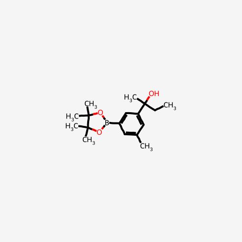 CCC(C)(O)c1cc(C)cc(B2OC(C)(C)C(C)(C)O2)c1